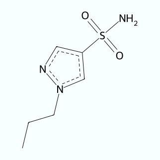 CCCn1cc(S(N)(=O)=O)cn1